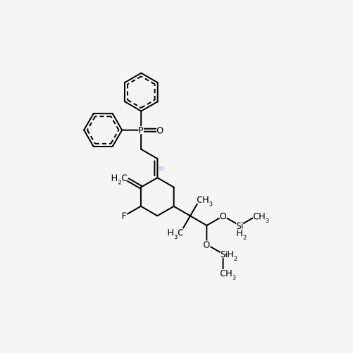 C=C1/C(=C\CP(=O)(c2ccccc2)c2ccccc2)CC(C(C)(C)C(O[SiH2]C)O[SiH2]C)CC1F